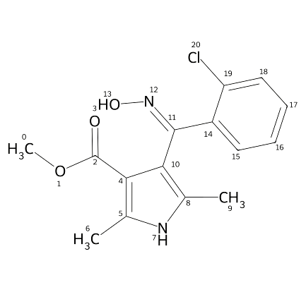 COC(=O)c1c(C)[nH]c(C)c1/C(=N\O)c1ccccc1Cl